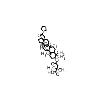 CC(C)(CC(=O)O[C@H]1CC[C@@]2(C)C(CC[C@]3(C)C2CC[C@@H]2[C@H]4CCC[C@]4(CC(=O)N4CCCC4)CC[C@]23C)C1(C)C)C(=O)O